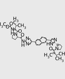 COC(=O)N[C@H](C(=O)N1CCCC1C(=O)Nc1ncc(-c2ccc3cc(-c4cnc([C@@H]5CCCN5C(=O)[C@@H](C)C(C)C)[nH]4)ccc3c2)cn1)C(C)C